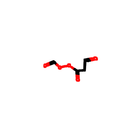 O=CCC(=O)OOC=O